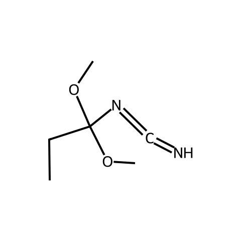 CCC(N=C=N)(OC)OC